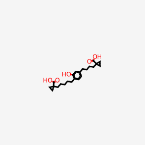 O=C(O)C1(CCCCCc2ccc(CCCCC3(C(=O)O)CC3)cc2O)CC1